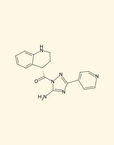 Nc1nc(-c2ccncc2)nn1C(=O)[C@H]1CCNc2ccccc21